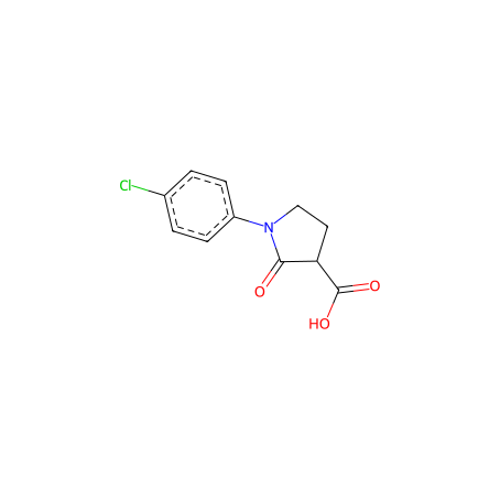 O=C(O)C1CCN(c2ccc(Cl)cc2)C1=O